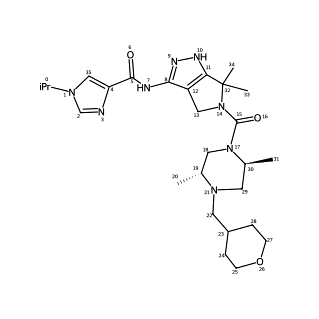 CC(C)n1cnc(C(=O)Nc2n[nH]c3c2CN(C(=O)N2C[C@@H](C)N(CC4CCOCC4)C[C@@H]2C)C3(C)C)c1